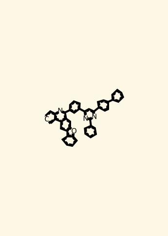 c1ccc(-c2ccc(-c3cc(-c4cccc(-c5nc6ccccc6c6cc7c(cc56)oc5ccccc57)c4)nc(-c4ccccc4)n3)cc2)cc1